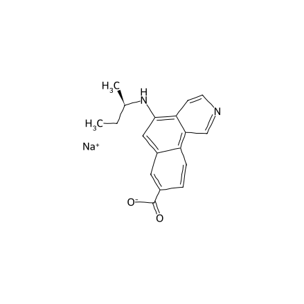 CC[C@@H](C)Nc1cc2cc(C(=O)[O-])ccc2c2cnccc12.[Na+]